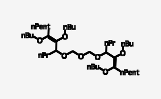 CCCCCC(OCCCC)=C(OCCCC)C(CCC)OCOCOC(CCC)C(OCCCC)=C(CCCCC)OCCCC